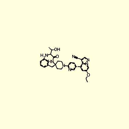 CCOc1cc(-c2ccc(N3CCC(Cc4ccccc4)(NC(=O)C(N)C(C)O)CC3)nc2)c2c(C#N)cnn2c1